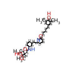 CCC(CC)(CC(=O)Nc1cccc(/C=C/c2cccc(OCCCCCc3cc(C)c(O)c(C)c3)n2)c1)C(=O)O